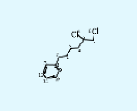 ClCC(Cl)CCCCc1c[c]ccc1